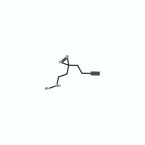 C#CCCC1(CCNC(C)C)N=N1